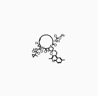 Cc1ccc2nc(C)c3c(c2c1)CC[C@]1(C[C@H]2C(=O)N[C@]4(C(=O)NS(=O)(=O)C5(C)CC5)C[C@H]4/C=C\CCCCC[C@H](NC(=O)OC(C)C)C(=O)N2C1)O3